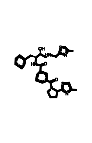 Cc1csc(CNC[C@@H](O)[C@H](Cc2ccccc2)NC(=O)c2cccc(C(=O)N3CCCC3c3nc(C)cs3)c2)n1